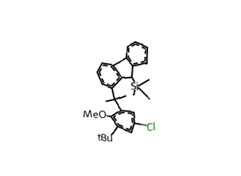 COc1c(C(C)(C)C)cc(Cl)cc1C(C)(C)c1cccc2c1C([Si](C)(C)C)c1ccccc1-2